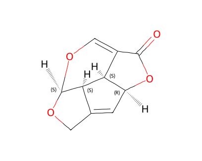 O=C1O[C@H]2C=C3CO[C@H]4OC=C1[C@@H]2[C@@H]34